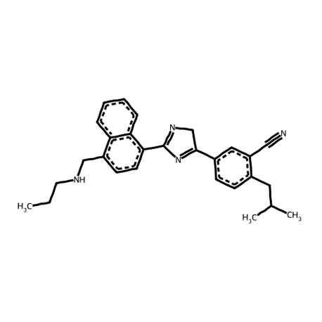 CCCNCc1ccc(C2=NCC(c3ccc(CC(C)C)c(C#N)c3)=N2)c2ccccc12